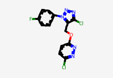 Fc1ccc(-n2nnc(Cl)c2COc2ccc(Cl)nn2)cc1